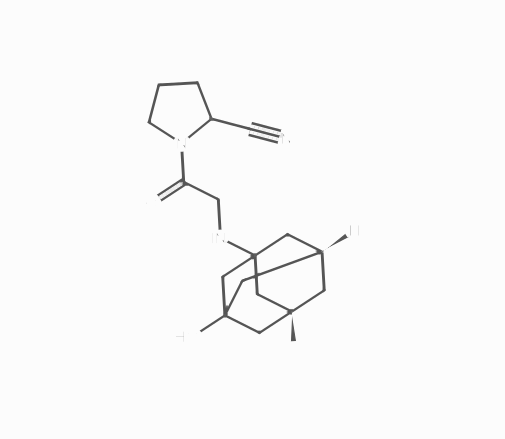 N#CC1CCCN1C(=O)CNC12C[C@@H]3C[C@H](CC(O)(C3)C1)C2